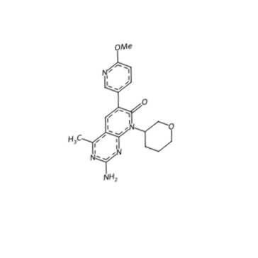 COc1ccc(-c2cc3c(C)nc(N)nc3n(C3CCCOC3)c2=O)cn1